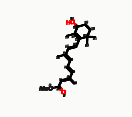 COC(=O)C=C(C)C=CC=C(C)C=CC1=C(C)C(O)CCC1(C)C